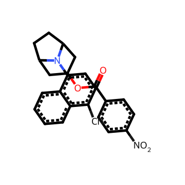 N#Cc1ccc(N2C3CCC2CC(OC(=O)c2ccc([N+](=O)[O-])cc2)C3)c2ccccc12